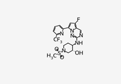 CS(=O)(=O)N1CC[C@@H](Nc2ncc3c(F)cc(-c4cccc(C(F)(F)F)n4)n3n2)[C@H](O)C1